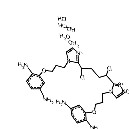 Cl.Cl.Cl.Cl.Nc1ccc(N)c(OCCCN2C=C[N+]=C2C(Cl)CCC(Cl)C2=[N+]C=CN2CCCOc2cc(N)ccc2N)c1.O.O